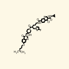 CN(C)CCCOc1ccc2c(=O)n(CC3(O)CCN(C(=O)C(CCCNC(=O)c4ccc5c(Cl)c(C(=O)NC6CC6)cnc5c4)Cn4ccc(F)n4)CC3)cnc2c1